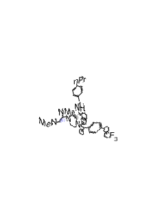 CCCc1ccc(CNC(=O)[C@H]2CN(/C(=C/NC)NC)CCN2S(=O)(=O)c2ccc(OC(F)(F)F)cc2)cc1